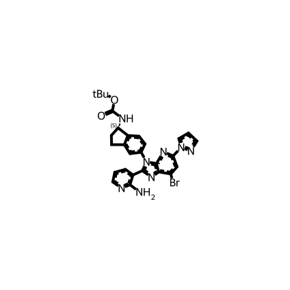 CC(C)(C)OC(=O)N[C@H]1CCc2cc(-n3c(-c4cccnc4N)nc4c(Br)cc(-n5cccn5)nc43)ccc21